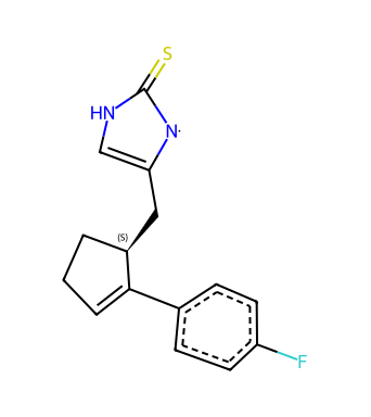 Fc1ccc(C2=CCC[C@H]2CC2=CNC(=S)[N]2)cc1